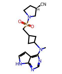 CN(c1ncnc2[nH]ccc12)C1CC(CS(=O)(=O)N2CC[C@@H](C#N)C2)C1